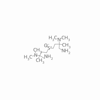 CN(C)C(C)(CN)CC[S+]([O-])CCC(C)(CN)N(C)C